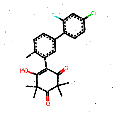 Cc1ccc(-c2ccc(Cl)cc2F)cc1C1=C(O)C(C)(C)C(=O)C(C)(C)C1=O